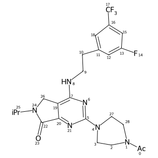 CC(=O)N1CCN(c2nc(NCCc3cc(F)cc(C(F)(F)F)c3)c3c(n2)C(=O)N(C(C)C)C3)CC1